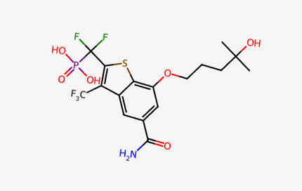 CC(C)(O)CCCOc1cc(C(N)=O)cc2c(C(F)(F)F)c(C(F)(F)P(=O)(O)O)sc12